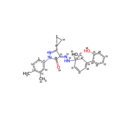 Cc1ccc(N2N=C(C3CC3)C(=NNC3(C(=O)O)C=CC=C(c4ccccc4O)C3)C2=O)cc1C